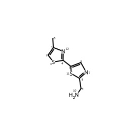 Cc1csc(-c2cnc(CN)s2)n1